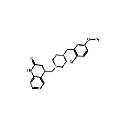 CC(C)Oc1ccc(Br)c(CC2CCN(CC3CC(=O)Nc4ccccc43)CC2)c1